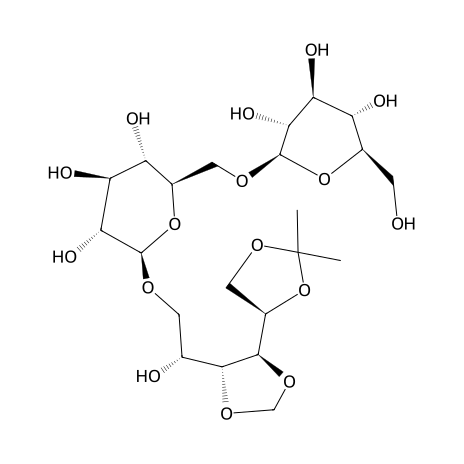 CC1(C)OC[C@H]([C@H]2OCO[C@@H]2[C@H](O)CO[C@@H]2O[C@H](CO[C@@H]3O[C@H](CO)[C@@H](O)[C@H](O)[C@H]3O)[C@@H](O)[C@H](O)[C@H]2O)O1